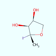 C[C@]1(I)OC[C@H](O)[C@@H]1O